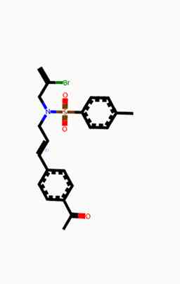 C=C(Br)CN(C/C=C/c1ccc(C(C)=O)cc1)S(=O)(=O)c1ccc(C)cc1